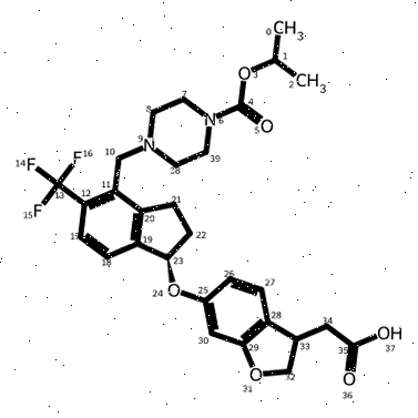 CC(C)OC(=O)N1CCN(Cc2c(C(F)(F)F)ccc3c2CC[C@H]3Oc2ccc3c(c2)OCC3CC(=O)O)CC1